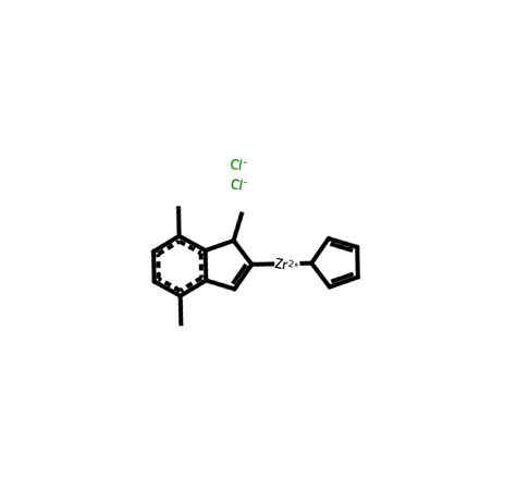 Cc1ccc(C)c2c1C=[C]([Zr+2][CH]1C=CC=C1)C2C.[Cl-].[Cl-]